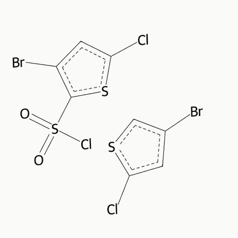 Clc1cc(Br)cs1.O=S(=O)(Cl)c1sc(Cl)cc1Br